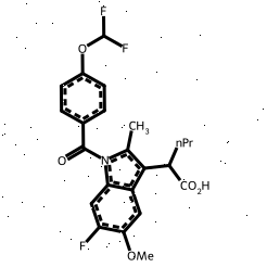 CCCC(C(=O)O)c1c(C)n(C(=O)c2ccc(OC(F)F)cc2)c2cc(F)c(OC)cc12